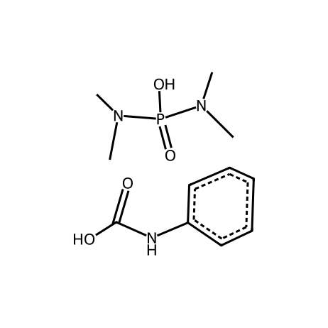 CN(C)P(=O)(O)N(C)C.O=C(O)Nc1ccccc1